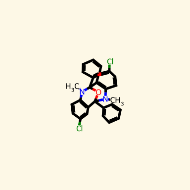 CN1c2ccc(Cl)cc2C2(c3ccccc3)OC1(c1ccccc1)c1cc(Cl)ccc1N2C